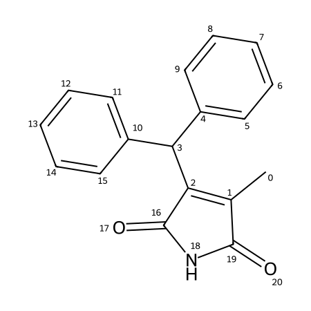 CC1=C(C(c2ccccc2)c2ccccc2)C(=O)NC1=O